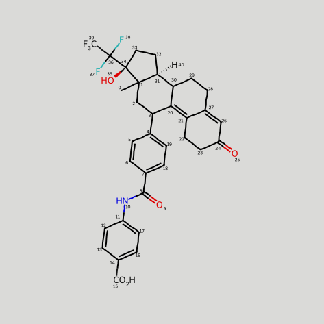 CC12CC(c3ccc(C(=O)Nc4ccc(C(=O)O)cc4)cc3)C3=C4CCC(=O)C=C4CCC3[C@@H]1CC[C@@]2(O)C(F)(F)C(F)(F)F